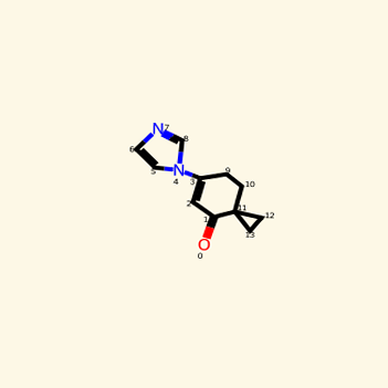 O=C1C=C(n2ccnc2)CCC12CC2